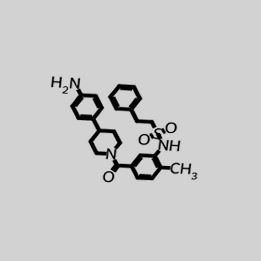 Cc1ccc(C(=O)N2CCC(c3ccc(N)cc3)CC2)cc1NS(=O)(=O)CCc1ccccc1